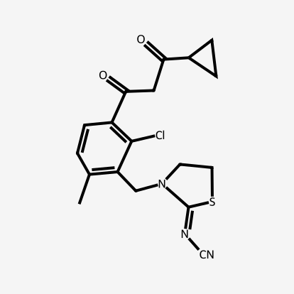 Cc1ccc(C(=O)CC(=O)C2CC2)c(Cl)c1CN1CCS/C1=N\C#N